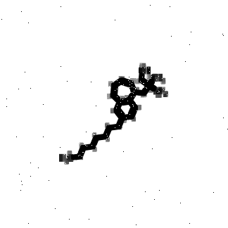 CCCCCCCCc1ccc2c(c1)C=CC=CC2CC(C)(N)CO